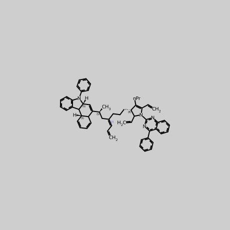 C=C/C=C(/CCC[C@@H]1C(CCC)=C(C=C)N(c2nc(-c3ccccc3)c3ccccc3n2)C1C=C)C[C@H](C)C1=C[C@@H]2C(c3ccccc3N2c2ccccc2)[C@H]2C=CC=CC12